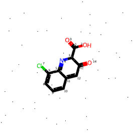 O=C(O)C1N=c2c(Cl)cccc2=CC1=O